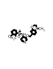 Cc1c(Cl)cccc1S(=O)(=O)Nc1ccncc1OCc1ccc2c(c1)OCCN2C